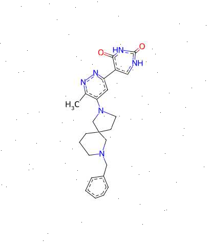 Cc1nnc(-c2c[nH]c(=O)[nH]c2=O)cc1N1CCC2(CCCN(Cc3ccccc3)C2)C1